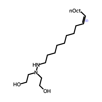 CCCCCCCC/C=C\CCCCCCCCNN(CCO)CCO